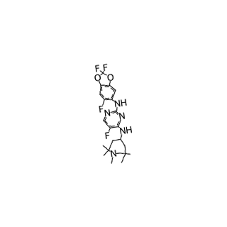 CN1C(C)(C)CC(Nc2nc(Nc3cc4c(cc3F)OC(F)(F)O4)ncc2F)CC1(C)C